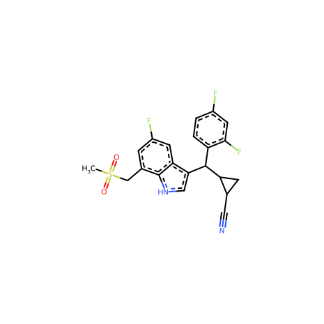 CS(=O)(=O)Cc1cc(F)cc2c(C(c3ccc(F)cc3F)C3CC3C#N)c[nH]c12